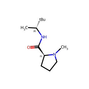 C[C@@H](NC(=O)[C@@H]1CCCN1C)C(C)(C)C